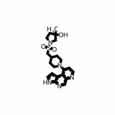 CC1(O)CCN(S(=O)(=O)CC2CCN(c3ccnc4cnc5[nH]ccc5c34)CC2)C1